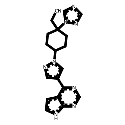 N#CCC1(n2cncn2)CCC(n2cc(-c3ncnc4[nH]ccc34)cn2)CC1